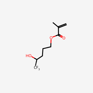 C=C(C)C(=O)OCCCC(O)C(F)(F)F